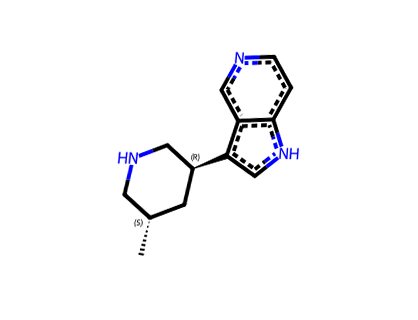 C[C@@H]1CNC[C@@H](c2c[nH]c3ccncc23)C1